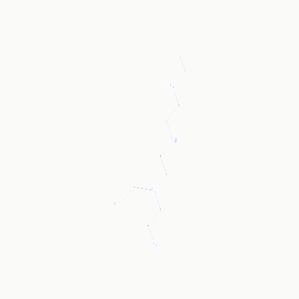 CC(C)CNCCNCCN(CCN)CC(C)C